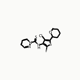 Fc1sc(C2CCCCO2)c(Cl)c1NC(=S)N1CCCC=N1